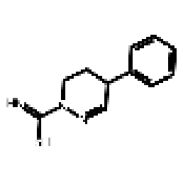 N=C(S)N1CCC(c2ccccc2)C=N1